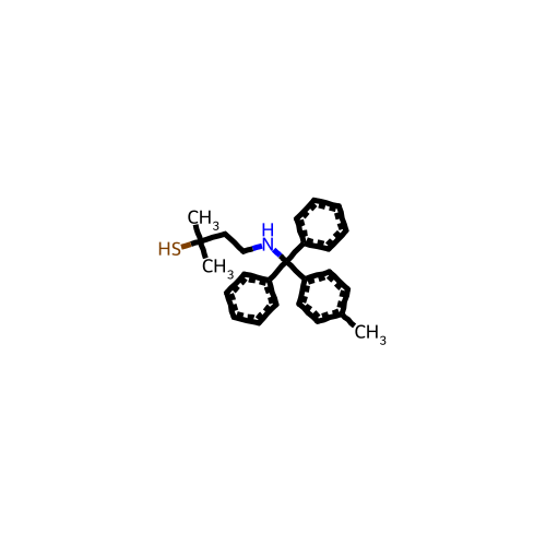 Cc1ccc(C(NCCC(C)(C)S)(c2ccccc2)c2ccccc2)cc1